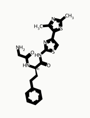 Cc1nc(C)c(-c2csc(NC(=O)[C@@H](CCc3ccccc3)NC(=O)CN)n2)s1